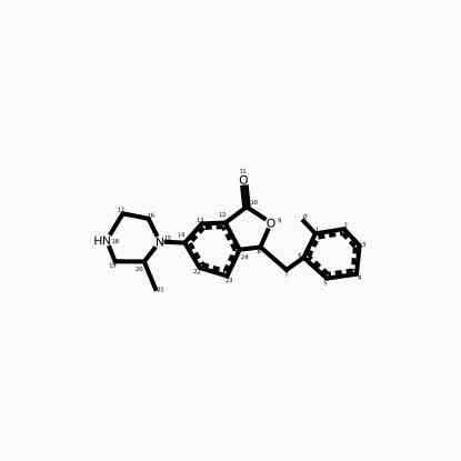 Cc1ccccc1CC1OC(=O)c2cc(N3CCNCC3C)ccc21